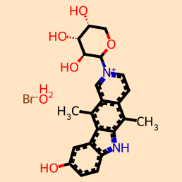 Cc1c2cc[n+](C3OC[C@@H](O)[C@@H](O)[C@@H]3O)cc2c(C)c2c1[nH]c1ccc(O)cc12.O.[Br-]